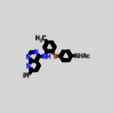 CC(=O)Nc1ccc(Sc2ccc(C)cc2Nc2ncnc3nc(C(C)C)ccc23)cc1